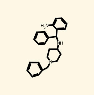 Nc1ccccc1C(NC1CCN(Cc2ccccc2)CC1)c1ccccc1